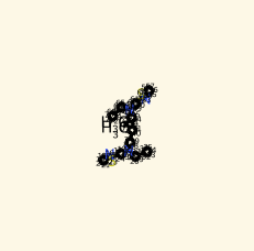 CC1(C)c2cc(-c3ccc(N(c4ccc(-c5nc6ccccc6s5)cc4)c4cccc(-c5ccccc5)c4)cc3)ccc2-c2ccc(N(c3ccc(-c4nc5ccccc5s4)cc3)c3cccc(-c4ccccc4)c3)cc21